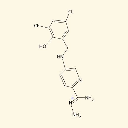 N/N=C(\N)c1ccc(NCc2cc(Cl)cc(Cl)c2O)cn1